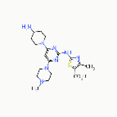 Cc1nc(Nc2nc(N3CCC(N)CC3)cc(N3CCN(C)CC3)n2)sc1C(=O)O